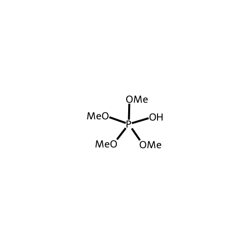 COP(O)(OC)(OC)OC